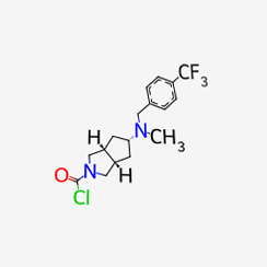 CN(Cc1ccc(C(F)(F)F)cc1)[C@@H]1C[C@@H]2CN(C(=O)Cl)C[C@@H]2C1